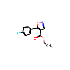 CCOC(=O)c1cnoc1-c1ccc(F)cc1